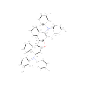 CC1=C[C@H](C)C(N(c2cccc(C)c2)c2cc3oc4cc(N(C5=CC=C(C)C[C@H]5C)c5cccc(C)c5)c5ccccc5c4c3c3ccccc23)C=C1